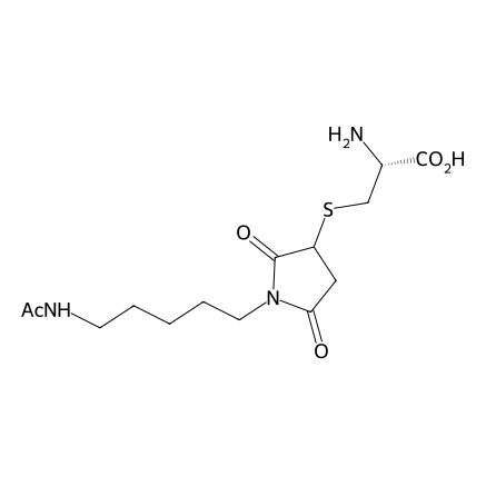 CC(=O)NCCCCCN1C(=O)CC(SC[C@H](N)C(=O)O)C1=O